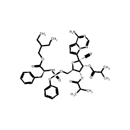 CCC(CC)COC(=O)[C@H](Cc1ccccc1)NP(=O)(OC[C@H]1O[C@@](C#N)(c2ccc3c(N)ncnn23)[C@H](OC(=O)C(C)C)[C@@H]1OC(=O)C(C)C)Oc1ccccc1